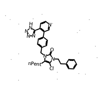 CCCCCc1c(Cl)n(CCc2ccccc2)c(=O)n1Cc1ccc(-c2cnccc2-c2nnn[nH]2)cc1